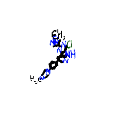 CN1CCN(c2ccc(-c3cnc4[nH]c5c(Cl)nc(-c6cnn(C)c6)nc5c4c3)cc2)CC1